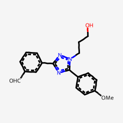 COc1ccc(-c2nc(-c3cccc(C=O)c3)nn2CCCO)cc1